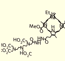 CCOC(=O)CN(CCN(CCN(CC(=O)O)CC(=O)NCCNC(=O)CCc1c(C)c2cc3nc(cc4[nH]c(cc5nc(cc1[nH]2)C(C(=O)OC)=C5C)c(CC)c4C)C(CC)=C3C)CC(=O)O)CC(=O)O